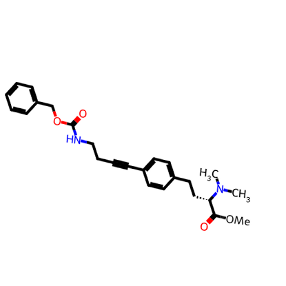 COC(=O)[C@H](CCc1ccc(C#CCCNC(=O)OCc2ccccc2)cc1)N(C)C